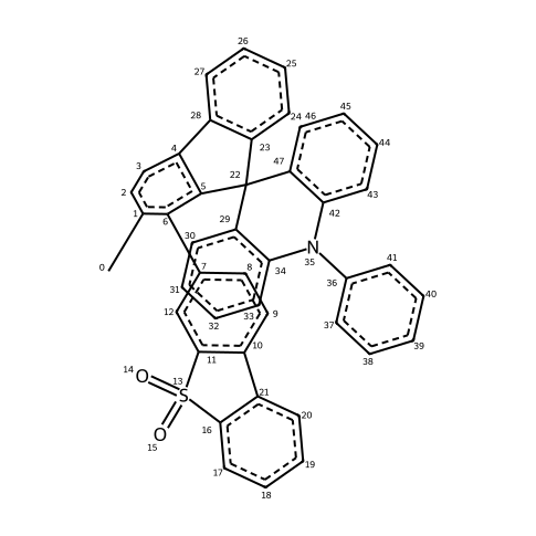 Cc1ccc2c(c1-c1ccc3c(c1)S(=O)(=O)c1ccccc1-3)C1(c3ccccc3-2)c2ccccc2N(c2ccccc2)c2ccccc21